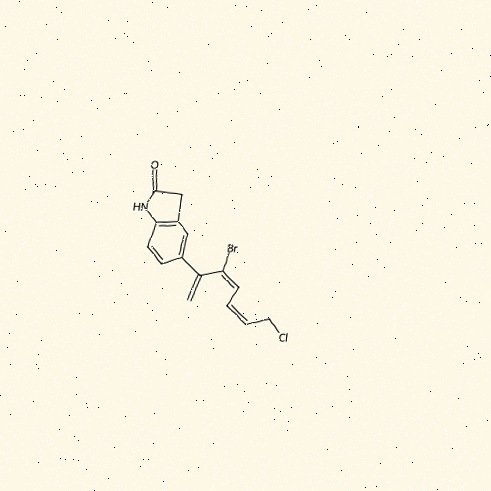 C=C(/C(Br)=C\C=C/CCl)c1ccc2c(c1)CC(=O)N2